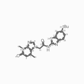 Cc1cc(=O)n(C)c2ncn(CC(=O)Nc3nc4ccc(C(C)(C)C)cc4s3)c12